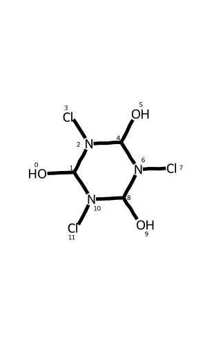 OC1N(Cl)C(O)N(Cl)C(O)N1Cl